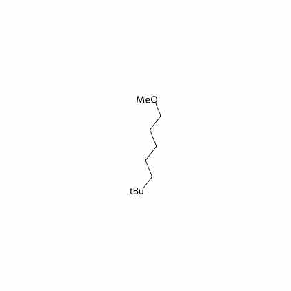 COCCCCCC(C)(C)C